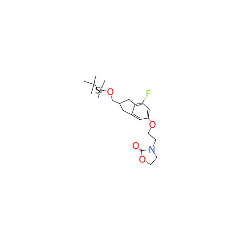 CC(C)(C)[Si](C)(C)OCC1Cc2cc(OCCN3CCOC3=O)cc(F)c2C1